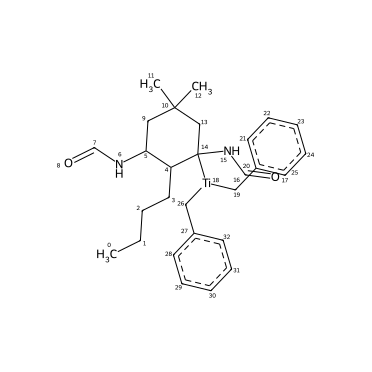 CCCCC1C(NC=O)CC(C)(C)C[C]1(NC=O)[Ti]([CH2]c1ccccc1)[CH2]c1ccccc1